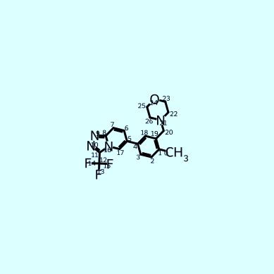 Cc1ccc(-c2ccc3nnc(C(F)(F)F)n3c2)cc1CN1CCOCC1